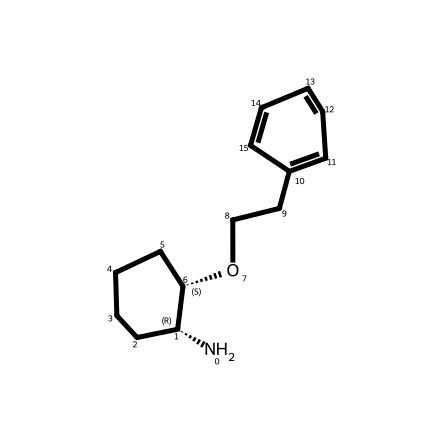 N[C@@H]1CCCC[C@@H]1OCCc1ccccc1